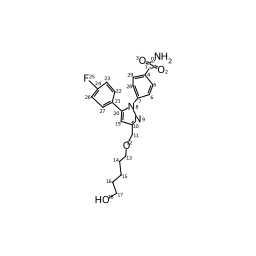 NS(=O)(=O)c1ccc(-n2nc(COCCCCCO)cc2-c2ccc(F)cc2)cc1